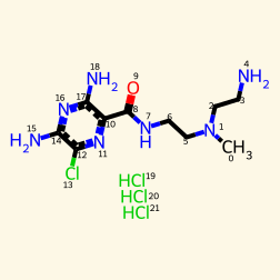 CN(CCN)CCNC(=O)c1nc(Cl)c(N)nc1N.Cl.Cl.Cl